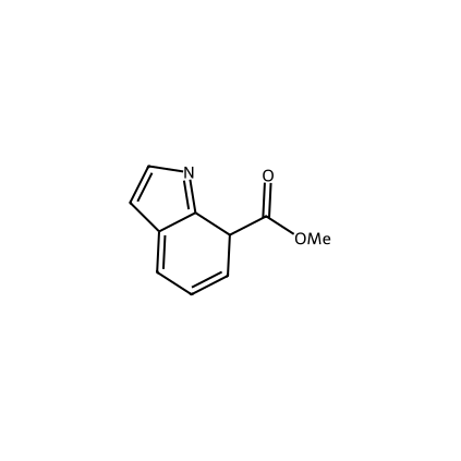 COC(=O)C1C=CC=C2C=CN=C21